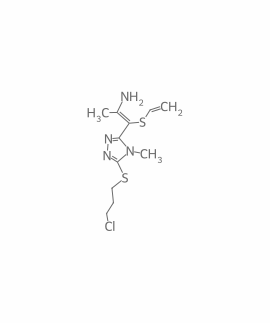 C=CS/C(=C(/C)N)c1nnc(SCCCCl)n1C